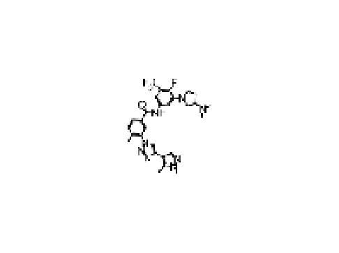 Cc1ccc(C(=O)Nc2cc(N3CCC(N(C)C)C3)c(F)c(C(F)(F)F)c2)cc1-n1cc(-c2cnn(C)c2C)nn1